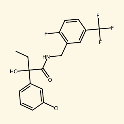 CCC(O)(C(=O)NCc1cc(C(F)(F)F)ccc1F)c1cccc(Cl)c1